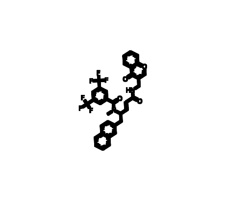 CN(C(=O)c1cc(C(F)(F)F)cc(C(F)(F)F)c1)C(C=CC(=O)NCc1coc2ccccc2c1=O)Cc1ccc2ccccc2c1